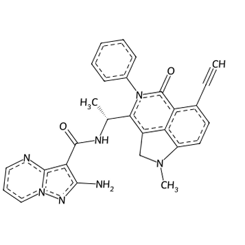 C#Cc1ccc2c3c(c([C@@H](C)NC(=O)c4c(N)nn5cccnc45)n(-c4ccccc4)c(=O)c13)CN2C